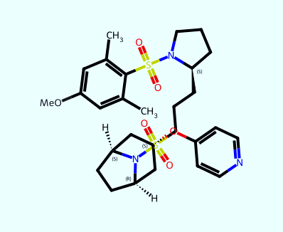 COc1cc(C)c(S(=O)(=O)N2CCC[C@H]2CCCS(=O)(=O)N2[C@@H]3CC[C@H]2C[C@H](Oc2ccncc2)C3)c(C)c1